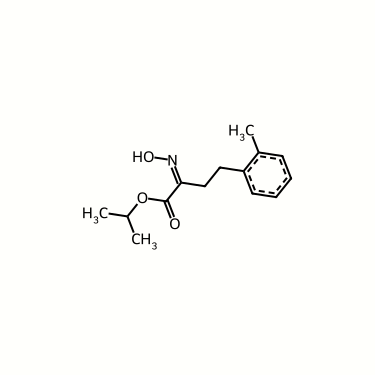 Cc1ccccc1CCC(=NO)C(=O)OC(C)C